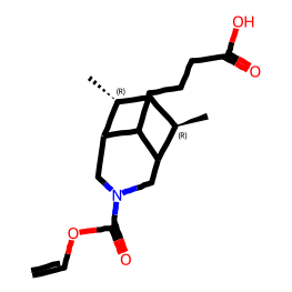 C=COC(=O)N1CC2C(CCCC(=O)O)C(C1)[C@H](C)C[C@H]2C